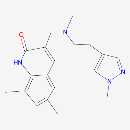 Cc1cc(C)c2[nH]c(=O)c(CN(C)CCc3cnn(C)c3)cc2c1